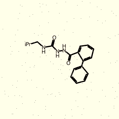 CC(C)CNC(=O)NNC(=O)c1ccccc1-c1ccccc1